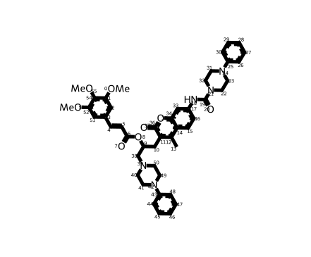 COc1cc(C=CC(=O)OC(Cc2c(C)c3ccc(NC(=O)N4CCN(c5ccccc5)CC4)cc3oc2=O)CN2CCN(c3ccccc3)CC2)cc(OC)c1OC